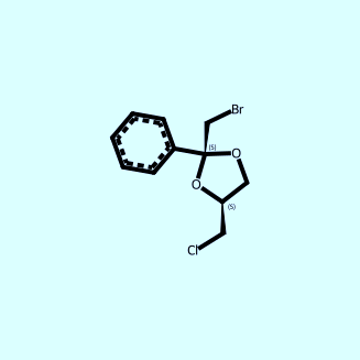 ClC[C@@H]1CO[C@@](CBr)(c2ccccc2)O1